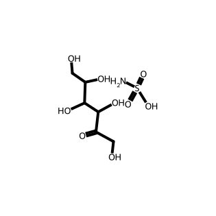 NS(=O)(=O)O.O=C(CO)C(O)C(O)C(O)CO